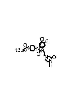 CC(C)(C)OC(=O)N1CCC(n2c(=O)n(CCN3CCNC(=O)C3)c3cc(Cl)c(Cl)cc32)CC1